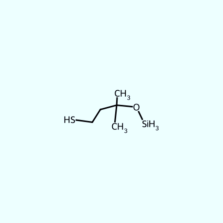 CC(C)(CCS)O[SiH3]